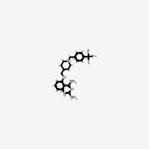 Nc1nc(N)c2c(OCC3CCN(Cc4ccc(C(F)(F)F)cc4)CC3)cccc2n1